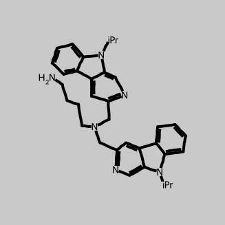 CC(C)n1c2ccccc2c2cc(CN(CCCCN)Cc3cc4c5ccccc5n(C(C)C)c4cn3)ncc21